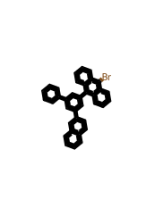 Brc1c2ccccc2c(-c2cc(-c3ccccc3)cc(-c3ccc4ccccc4c3)c2)c2ccccc12